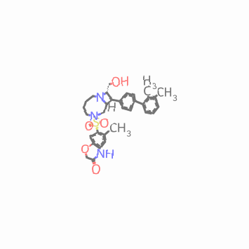 Cc1cc2c(cc1S(=O)(=O)N1CCCCN3[C@H](CO)C(c4ccc(-c5cccc(C)c5C)cc4)[C@@H]3C1)OCC(=O)N2